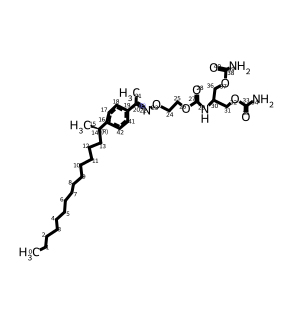 CCCCCCCCCCCCCC[C@@H](C)c1ccc(/C(C)=N/OCCOC(=O)NC(COC(N)=O)COC(N)=O)cc1